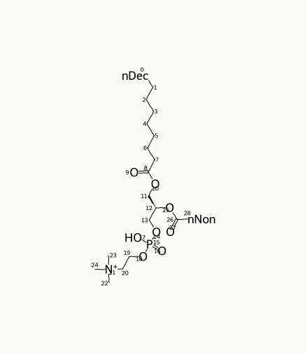 CCCCCCCCCCCCCCCCCC(=O)OC[C@H](COP(=O)(O)OCC[N+](C)(C)C)OC(=O)CCCCCCCCC